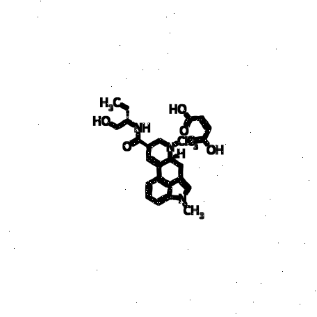 CC[C@@H](CO)NC(=O)[C@@H]1C=C2c3cccc4c3c(cn4C)C[C@H]2N(C)C1.O=C(O)/C=C\C(=O)O